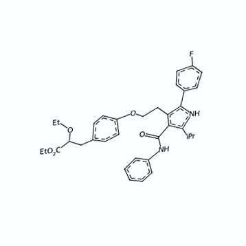 CCOC(=O)C(Cc1ccc(OCCc2c(-c3ccc(F)cc3)[nH]c(C(C)C)c2C(=O)Nc2ccccc2)cc1)OCC